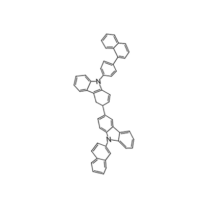 C1=CC(c2ccc3c(c2)c2ccccc2n3-c2ccc3ccccc3c2)Cc2c1n(-c1ccc(-c3cccc4ccccc34)cc1)c1ccccc21